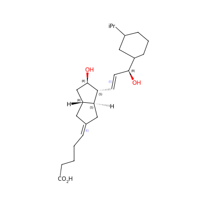 CC(C)C1CCCC([C@@H](O)/C=C/[C@@H]2[C@H]3C/C(=C/CCCC(=O)O)C[C@@H]3C[C@H]2O)C1